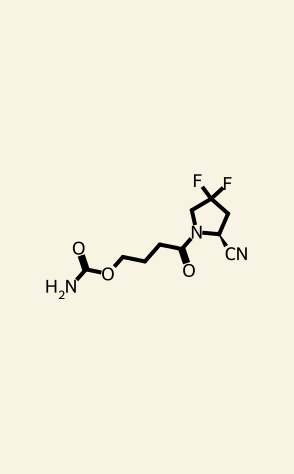 N#C[C@@H]1CC(F)(F)CN1C(=O)CCCOC(N)=O